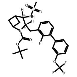 CC(C)(C)OC(=O)N1C2CC(C2)[C@H](NS(C)(=O)=O)[C@@H]1Cc1cccc(-c2cccc(OC(F)(F)F)c2)c1F